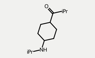 CC(C)NC1CCC(C(=O)C(C)C)CC1